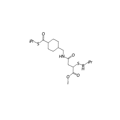 CC(C)BSC(CC(=O)NCC1CCC(C(=O)SC(C)C)CC1)C(=O)OI